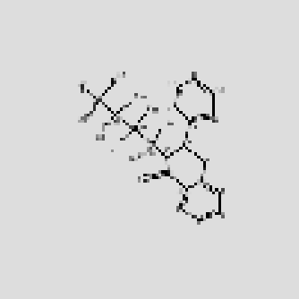 O=C1c2ccccc2CC(c2ccccc2)C1C(F)(F)C(F)(F)C(F)(F)C(F)(F)F